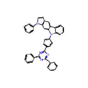 c1ccc(-c2nc(-c3ccccc3)nc(-c3ccc(-n4c5ccccc5c5cc6ccn(-c7ccccc7)c6cc54)cc3)n2)cc1